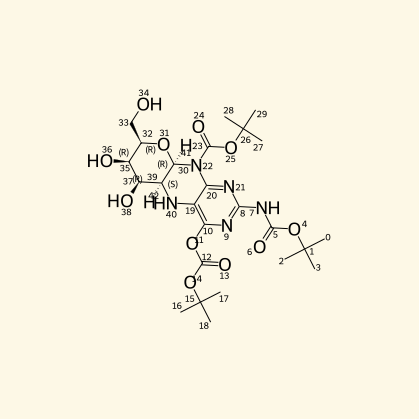 CC(C)(C)OC(=O)Nc1nc(OC(=O)OC(C)(C)C)c2c(n1)N(C(=O)OC(C)(C)C)[C@@H]1O[C@H](CO)[C@H](O)[C@H](O)[C@@H]1N2